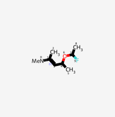 CN/C(C)=C/C(C)OC(C)F